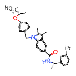 Cc1c(C)n(Cc2ccc(O[C@@H](C)C(=O)O)cc2)c2ccc(C(=O)N[C@@H](C)c3cccc(C(C)C)c3)cc12